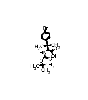 CC(C)(C)OC(=O)NC(C(=O)O)C(C)(C)c1ccc(Br)cc1